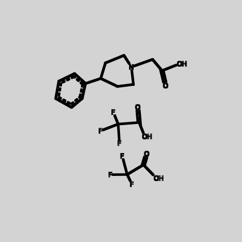 O=C(O)C(F)(F)F.O=C(O)C(F)(F)F.O=C(O)CN1CCC(c2ccccc2)CC1